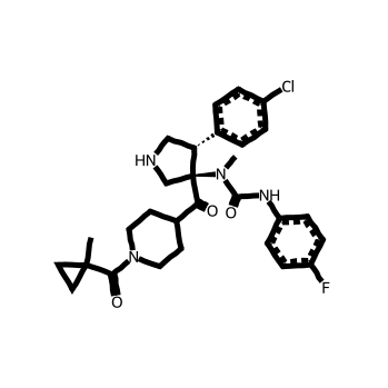 CN(C(=O)Nc1ccc(F)cc1)[C@@]1(C(=O)C2CCN(C(=O)C3(C)CC3)CC2)CNC[C@@H]1c1ccc(Cl)cc1